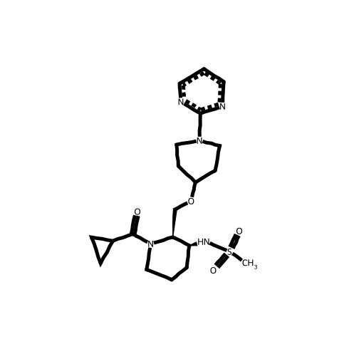 CS(=O)(=O)N[C@H]1CCCN(C(=O)C2CC2)[C@H]1COC1CCN(c2ncccn2)CC1